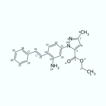 CCOC(=O)c1cc(C)nn1-c1ccc(/C=C/c2ccccc2)c(N)c1